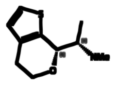 CN[C@@H](C)[C@@H]1OCCc2ccsc21